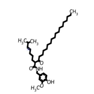 CCCCCCCCCCCCCCCCCC(=O)C(CCC/C=C/C(C)C)C(=O)NCc1ccc(O)c(OC)c1